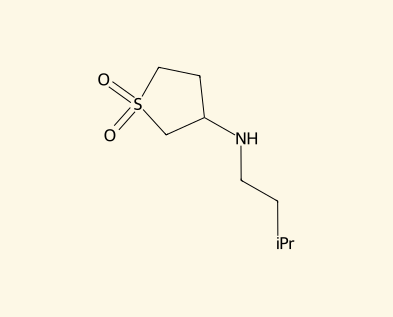 CC(C)CCNC1CCS(=O)(=O)C1